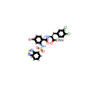 COC(=O)[C@H](Cc1ccc(Cl)c(Cl)c1)NC(=O)c1ccc(Br)cc1NS(=O)(=O)c1cccc2nsnc12